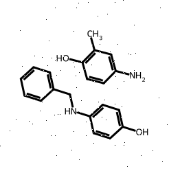 Cc1cc(N)ccc1O.Oc1ccc(NCc2ccccc2)cc1